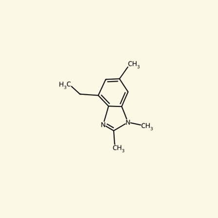 CCc1cc(C)cc2c1nc(C)n2C